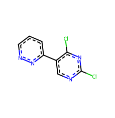 Clc1ncc(-c2cccnn2)c(Cl)n1